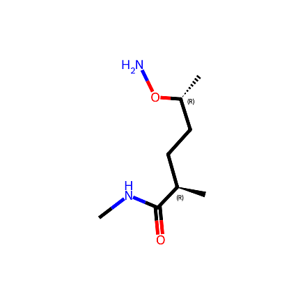 CNC(=O)[C@H](C)CC[C@@H](C)ON